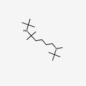 CN(CCCCC(C)(C)NC(C)(C)C)C(C)(C)C